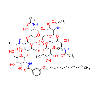 CCCCCCCCCCCOc1cccc(C(=O)NC2C(O[C@@H]3C(CO)OC(OC4C(CO)O[C@@H](O[C@@H]5C(CO)O[C@@H](OC6C(CO[C@@H]7OC(C)C(O)C(O)C7OC)OC[C@@H](NC(C)=O)[C@H]6O)C(NC(C)=O)C5O)[C@@H](NC(C)=O)[C@H]4O)C(NC(C)=O)C3O)OC(CO)[C@@H](O)C2O)c1